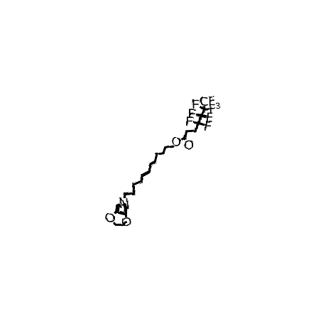 O=C(CCC(F)(F)C(F)(F)C(F)(F)C(F)(F)F)OCCCCCCCCCCCCn1cc2c(c1)OCCO2